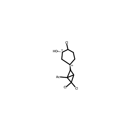 CC(=O)C12C([C@@H]3CCC(Cl)[C@@H](O)C3)C1C2(Cl)Cl